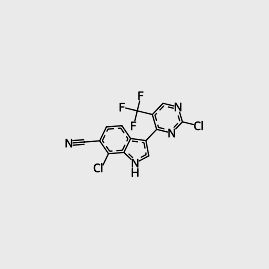 N#Cc1ccc2c(-c3nc(Cl)ncc3C(F)(F)F)c[nH]c2c1Cl